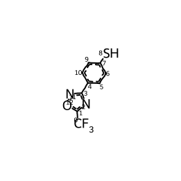 FC(F)(F)c1nc(-c2ccc(S)cc2)no1